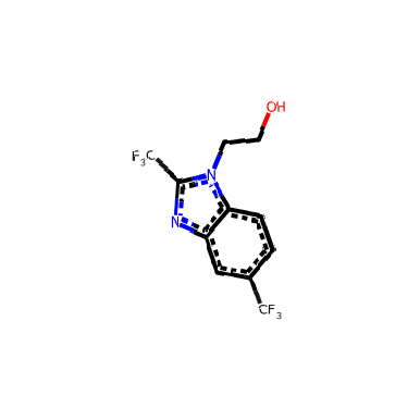 OCCn1c(C(F)(F)F)nc2cc(C(F)(F)F)ccc21